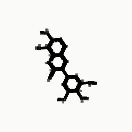 COc1cc(-c2cc3ccc(OC)c(O)c3oc2=O)cc(OC)c1OC